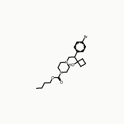 CCCCOC(=O)N1CCN(CC(c2ccc(Br)cc2)C2(O)CCC2)CC1